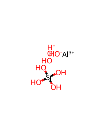 O[Si](O)(O)O.[Al+3].[OH-].[OH-].[OH-]